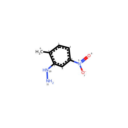 Cc1ccc([N+](=O)[O-])cc1NN